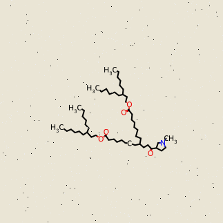 CCCCCCC(CCCCCC)CCOC(=O)CCCCCCCC(CCCCCCCC(=O)OCCC(CCCCCC)CCCCCC)CCC(=O)C1CCN(C)C1